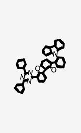 c1ccc(-c2nc(-c3ccccc3)nc(-c3cccc4c3oc3ccc5c(oc6cccc(-n7c8ccccc8c8ccccc87)c65)c34)n2)cc1